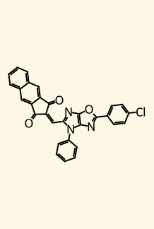 O=C1C(=Cc2nc3oc(-c4ccc(Cl)cc4)nc3n2-c2ccccc2)C(=O)c2cc3ccccc3cc21